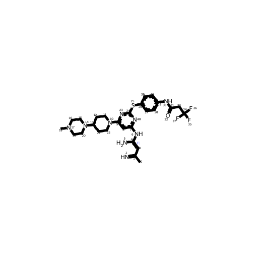 CC(=N)/C=C(\N)Nc1cc(N2CCC(N3CCN(C)CC3)CC2)nc(Sc2ccc(NC(=O)CC(F)(F)F)cc2)n1